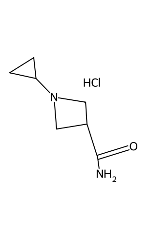 Cl.NC(=O)C1CN(C2CC2)C1